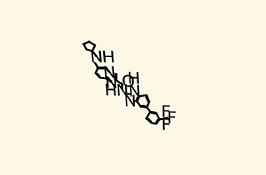 O=C(Nc1nc2cc(-c3cccc(C(F)(F)F)c3)ccc2[nH]1)c1cn2cc(CNC3CCCC3)ccc2n1